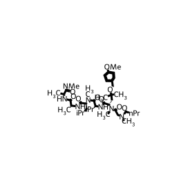 CCCC(=O)N(C)CC(=O)N(C)[C@@H](CC(C)(C)OCc1ccc(OC)cc1)C(=O)N[C@H](C(=O)N(C)[C@@H](CC(C)C)C(=O)N[C@H](C)C(=O)NC(C)C(=O)NC)C(C)C